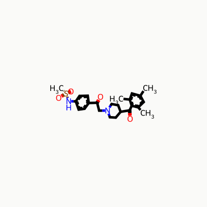 Cc1cc(C)c(C(=O)C2CCN(CC(=O)c3ccc(NS(C)(=O)=O)cc3)CC2)c(C)c1